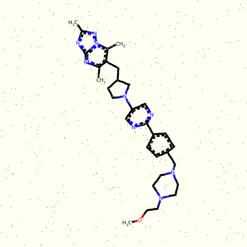 COCCN1CCN(Cc2ccc(-c3ncc(N4CCC(Cc5c(C)nc6nc(C)nn6c5C)C4)cn3)cc2)CC1